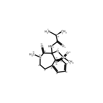 C[C@H](N)C(=O)NC1(OS(C)(=O)=O)C(=O)N(C)CCc2ccccc21